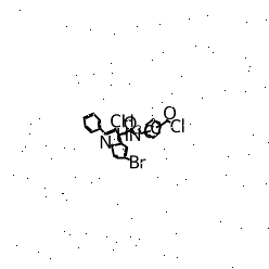 Cc1c(-c2ccccc2)nc2ccc(Br)cc2c1C(=O)NC12CCC(C(=O)Cl)(CC1)CC2